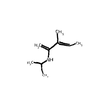 C=C(NC(C)C)/C(C)=C/C